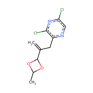 C=C(Cc1ncc(Cl)nc1Cl)C1OC(C)O1